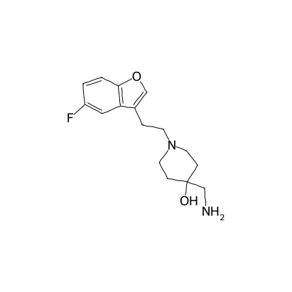 NCC1(O)CCN(CCc2coc3ccc(F)cc23)CC1